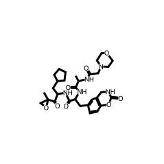 CC(NC(=O)CN1CCOCC1)C(=O)NC(Cc1ccc2c(c1)CNC(=O)O2)C(=O)NC(CC1CCCC1)C(=O)C1(C)CO1